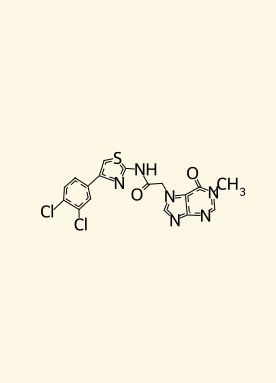 Cn1cnc2ncn(CC(=O)Nc3nc(-c4ccc(Cl)c(Cl)c4)cs3)c2c1=O